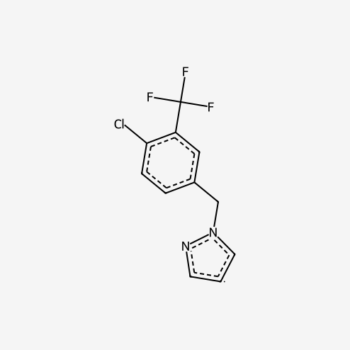 FC(F)(F)c1cc(Cn2c[c]cn2)ccc1Cl